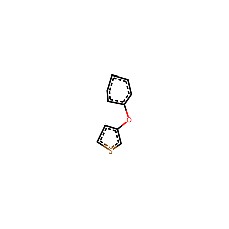 [c]1cscc1Oc1ccccc1